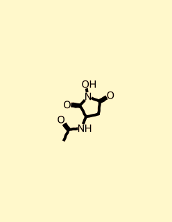 CC(=O)NC1CC(=O)N(O)C1=O